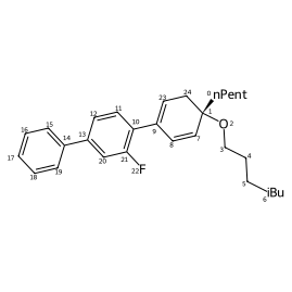 CCCCC[C@@]1(OCCCC(C)CC)C=CC(c2ccc(-c3ccccc3)cc2F)=CC1